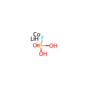 O=P(O)(O)F.[Co].[LiH]